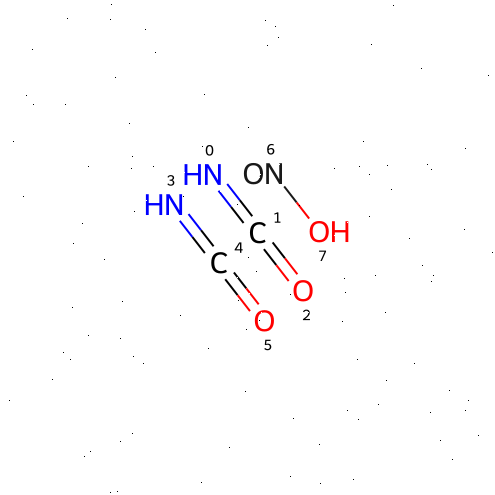 N=C=O.N=C=O.O=NO